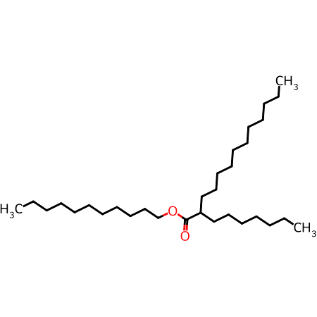 CCCCCCCCCCCOC(=O)C(CCCCCCC)CCCCCCCCCCC